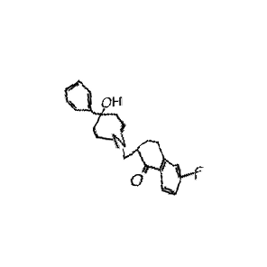 O=C1c2ccc(F)cc2CCC1CN1CCC(O)(c2ccccc2)CC1